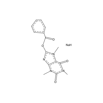 Cn1c(=O)c2c(nc(OC(=O)c3ccccc3)n2C)n(C)c1=O.[NaH]